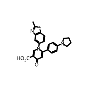 Cc1nc2cc(-n3cc(C(=O)O)c(=O)cc3-c3ccc(N4CCCC4)cc3)ccc2s1